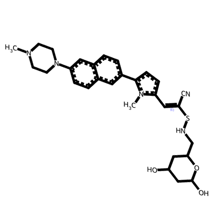 CN1CCN(c2ccc3cc(-c4ccc(/C=C(\C#N)SNCC5CC(O)CC(O)O5)n4C)ccc3c2)CC1